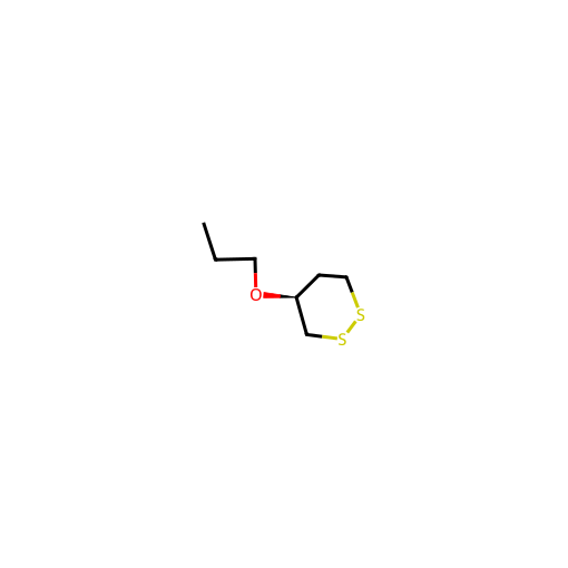 CCCO[C@H]1CCSSC1